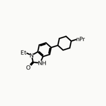 CCCC1CCC(c2ccc3c(c2)[nH]c(=O)n3CC)CC1